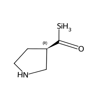 O=C([SiH3])[C@@H]1CCNC1